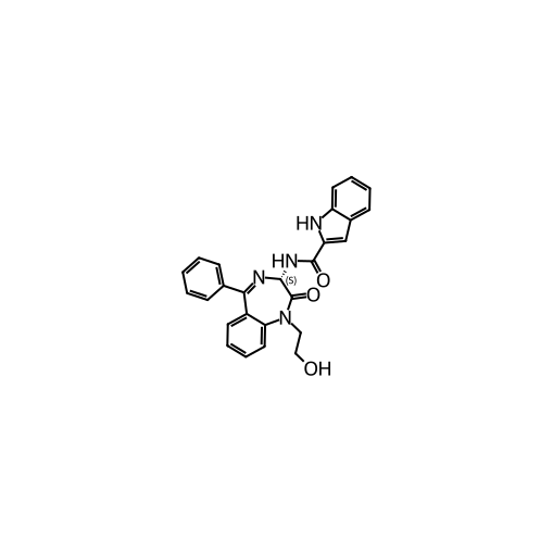 O=C(N[C@H]1N=C(c2ccccc2)c2ccccc2N(CCO)C1=O)c1cc2ccccc2[nH]1